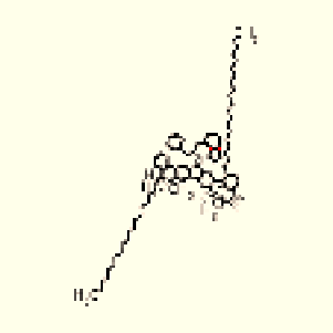 CCCCCCCCCCCCCCCCCCCCc1ccccc1-c1cc2c(cc1C(C)(C)C)-c1cc(C(C)(C)C)c(-c3ccccc3CCCCCCCCCCCCCCCCCCCC)cc1[CH]2[Zr+2]([C]1=CC=CC1)=[C](Cc1ccccc1)Cc1ccccc1.[Cl-].[Cl-]